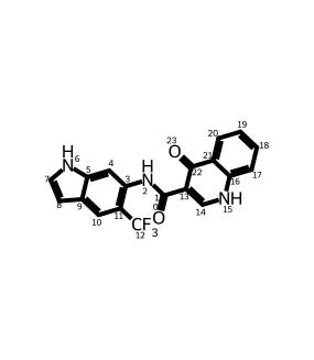 O=C(Nc1cc2[nH]ccc2cc1C(F)(F)F)c1c[nH]c2ccccc2c1=O